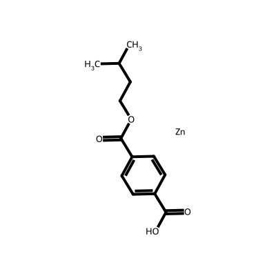 CC(C)CCOC(=O)c1ccc(C(=O)O)cc1.[Zn]